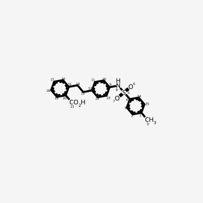 Cc1ccc(S(=O)(=O)Nc2ccc(CCc3ccccc3C(=O)O)cc2)cc1